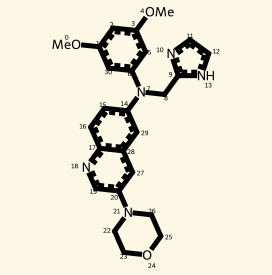 COc1cc(OC)cc(N(Cc2ncc[nH]2)c2ccc3ncc(N4CCOCC4)cc3c2)c1